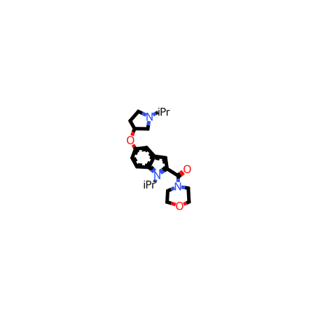 CC(C)N1CCC(Oc2ccc3c(c2)cc(C(=O)N2CCOCC2)n3C(C)C)C1